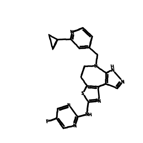 Fc1cnc(Nc2nc3c(s2)CCN(Cc2ccnc(C4CC4)c2)c2[nH]ncc2-3)nc1